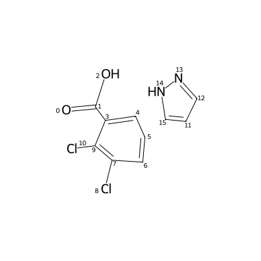 O=C(O)c1cccc(Cl)c1Cl.c1cn[nH]c1